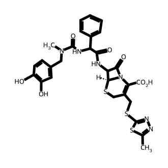 Cc1nnc(SCC2=C(C(=O)O)N3C(=O)C(NC(=O)C(NC(=O)N(C)Cc4ccc(O)c(O)c4)c4ccccc4)[C@@H]3SC2)s1